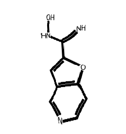 N=C(NO)c1cc2cnccc2o1